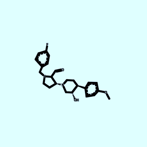 COc1ccc([C@@H]2CCN([C@@H]3CCN(Cc4ccc(F)cc4)C3C=O)C[C@H]2O)cc1